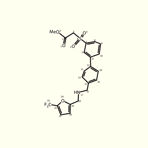 COC(=O)CS(=O)(=O)c1cccc(-c2ccc(CNCc3ccc(C(F)(F)F)o3)cc2)c1